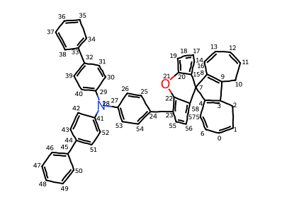 C1=CCC2=C(C=C1)C1(C3=C2CC=CC=C3)c2ccccc2Oc2c(-c3ccc(N(c4ccc(-c5ccccc5)cc4)c4ccc(-c5ccccc5)cc4)cc3)cccc21